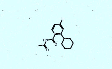 CC(=O)NC(=O)c1ccc(Cl)cc1C1CCCCC1